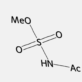 COS(=O)(=O)NC(C)=O